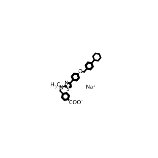 CN(Cc1ccc(C(=O)[O-])cc1)c1nc(-c2ccc(OCc3ccc(C4CCCCC4)cc3)cc2)cs1.[Na+]